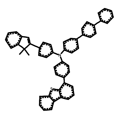 CC1(C)C(c2ccc(N(c3ccc(-c4ccc(-c5ccccc5)cc4)cc3)c3ccc(-c4cccc5c4sc4ccccc45)cc3)cc2)=Cc2ccccc21